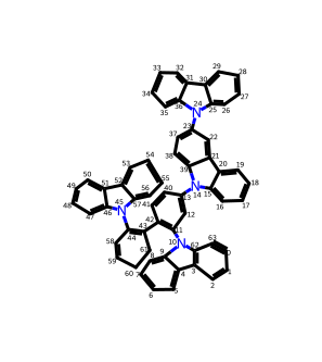 c1ccc2c3ccccc3n(-c3cc(-n4c5ccccc5c5cc(-n6c7ccccc7c7ccccc76)ccc54)ccc3C3=C(n4c5ccccc5c5ccccc54)C=CCC3)c2c#1